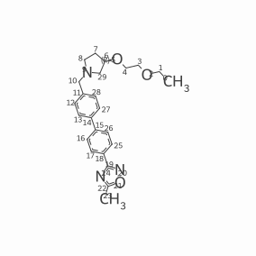 CCOCCO[C@@H]1CCN(Cc2ccc(-c3ccc(-c4noc(C)n4)cc3)cc2)C1